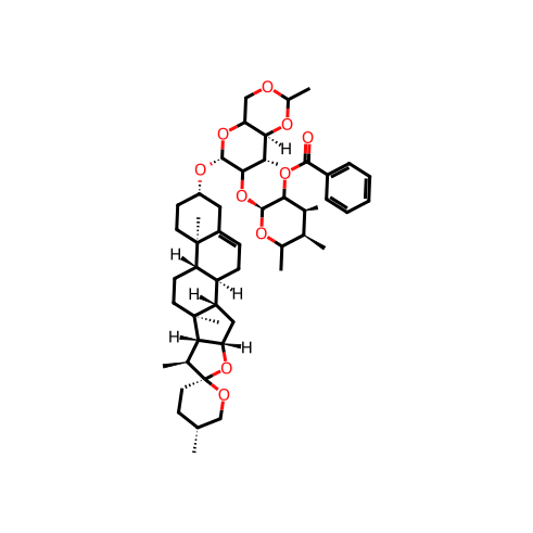 CC1OCC2O[C@@H](O[C@H]3CC[C@@]4(C)C(=CC[C@H]5[C@@H]6C[C@@H]7O[C@]8(CC[C@@H](C)CO8)[C@@H](C)[C@@H]7[C@@]6(C)CC[C@@H]54)C3)C(O[C@@H]3OC(C)[C@H](C)[C@H](C)C3OC(=O)c3ccccc3)[C@@H](C)[C@@H]2O1